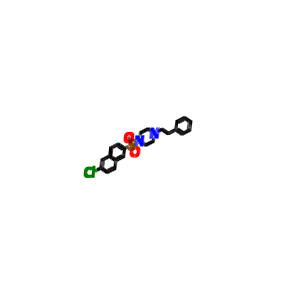 O=S(=O)(c1ccc2cc(Cl)ccc2c1)N1CCN(CCc2ccccc2)CC1